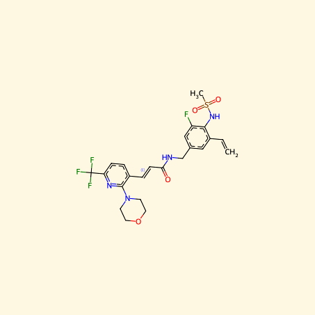 C=Cc1cc(CNC(=O)/C=C/c2ccc(C(F)(F)F)nc2N2CCOCC2)cc(F)c1NS(C)(=O)=O